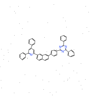 c1ccc(-c2cc(-c3ccccc3)nc(-c3ccc4ccc(-c5ccc(-c6nc(-c7ccccc7)nc(-c7ccccc7)n6)cc5)cc4c3)c2)cc1